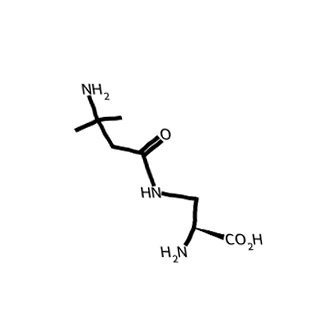 CC(C)(N)CC(=O)NC[C@H](N)C(=O)O